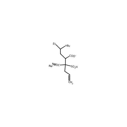 C=CCC(C(=O)[O-])(C(CC(CC)CCCC)C(=O)[O-])S(=O)(=O)O.[Na+].[Na+]